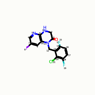 O=C1CNc2ncc(I)cc2N1Cc1c(F)ccc(F)c1Cl